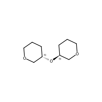 C1COC[C@@H](O[C@H]2CCCOC2)C1